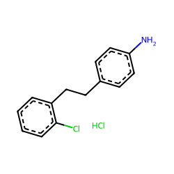 Cl.Nc1ccc(CCc2ccccc2Cl)cc1